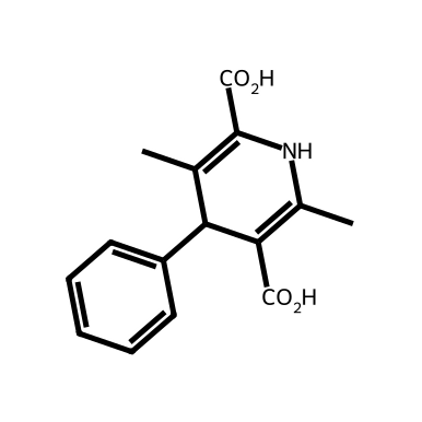 CC1=C(C(=O)O)C(c2ccccc2)C(C)=C(C(=O)O)N1